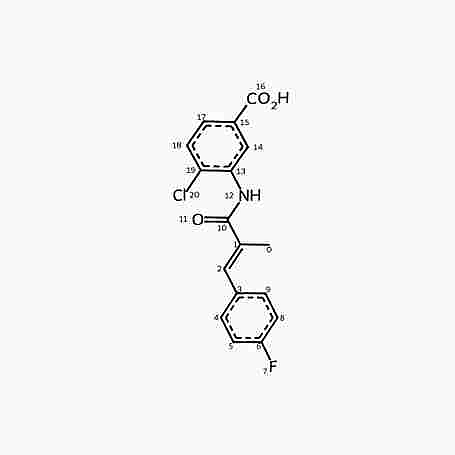 C/C(=C\c1ccc(F)cc1)C(=O)Nc1cc(C(=O)O)ccc1Cl